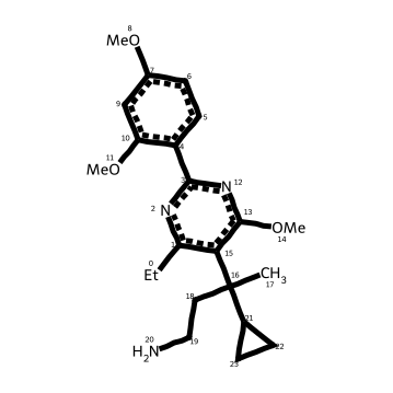 CCc1nc(-c2ccc(OC)cc2OC)nc(OC)c1C(C)(CCN)C1CC1